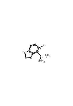 C[C@H](N)c1c(F)ccc2c1CCO2